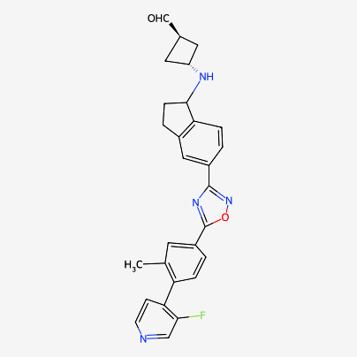 Cc1cc(-c2nc(-c3ccc4c(c3)CCC4N[C@H]3C[C@H](C=O)C3)no2)ccc1-c1ccncc1F